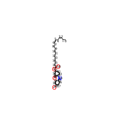 CC/C=C\C/C=C\CCCCCCCCCCC(=O)Oc1ccc2nc3ccc(=O)cc-3oc2c1